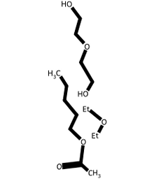 CCCCCOC(C)=O.CCOCC.OCCOCCO